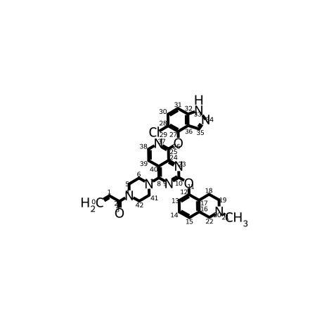 C=CC(=O)N1CCN(c2nc(Oc3cccc4c3CCN(C)C4)nc3c(Oc4c(Cl)ccc5[nH]ncc45)nccc23)CC1